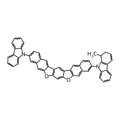 CC1CC=Cc2c1n(-c1ccc3cc4c(cc3c1)oc1cc3oc5cc6cc(-n7c8ccccc8c8ccccc87)ccc6cc5c3cc14)c1ccccc21